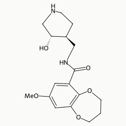 COc1cc2c(c(C(=O)NC[C@@H]3CCNC[C@H]3O)c1)OCCCO2